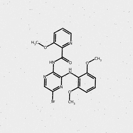 COc1cccnc1C(=O)Nc1ncc(Br)nc1Nc1c(OC)cccc1OC